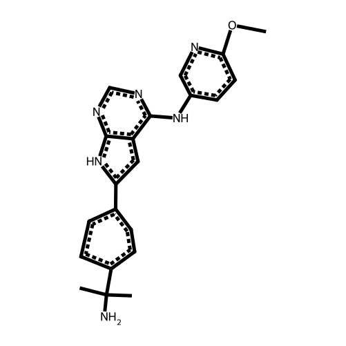 COc1ccc(Nc2ncnc3[nH]c(-c4ccc(C(C)(C)N)cc4)cc23)cn1